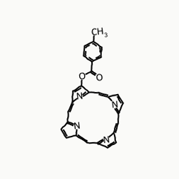 Cc1ccc(C(=O)OC2=CC3=CC4=NC(=CC5=NC(=CC6=NC(=CC2=N3)C=C6)C=C5)C=C4)cc1